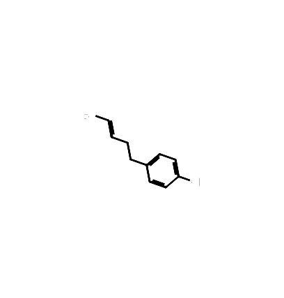 Clc1ccc(CC/C=C/Br)cc1